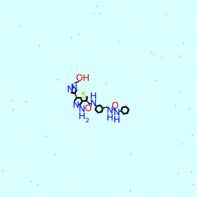 Nc1ncc(-c2cnn(CCO)c2)c2scc(C(=O)Nc3cccc(CNC(=O)Nc4ccccc4)c3)c12